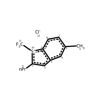 CCCc1cc2cc(C)ccc2[s+]1C(F)(F)F.[Cl-]